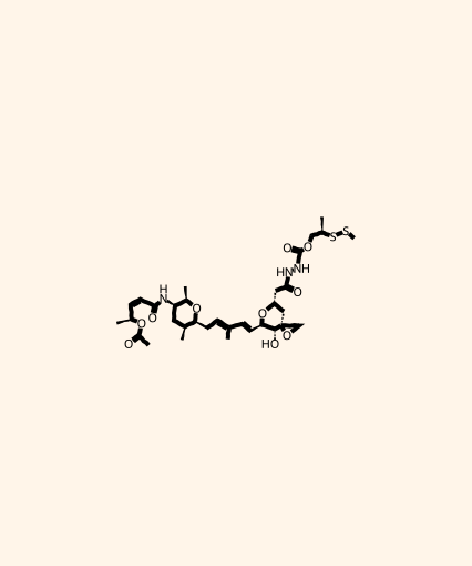 CSS[C@H](C)COC(=O)NNC(=O)C[C@@H]1C[C@@]2(CO2)[C@H](O)[C@@H](/C=C/C(C)=C/C[C@@H]2O[C@H](C)[C@H](NC(=O)/C=C\[C@H](C)OC(C)=O)C[C@@H]2C)O1